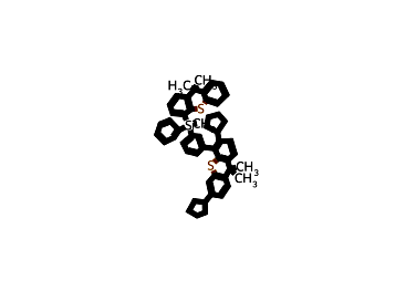 CC1(C)c2ccccc2Sc2c1cccc2[Si](C)(c1ccccc1)c1cccc(-c2c(C3CCCC3)ccc3c2Sc2cc(C4CCCC4)ccc2C3(C)C)c1